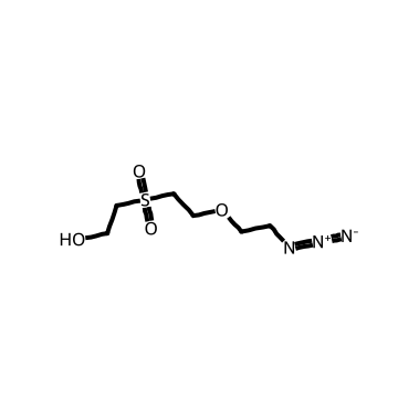 [N-]=[N+]=NCCOCCS(=O)(=O)CCO